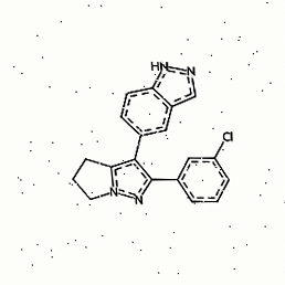 Clc1cccc(-c2nn3c(c2-c2ccc4[nH]ncc4c2)CCC3)c1